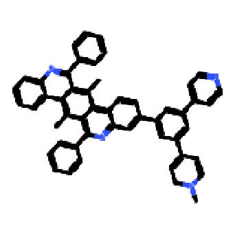 Cc1c2c(-c3ccccc3)nc3cc(-c4cc(C5=CCN(C)C=C5)cc(-c5ccncc5)c4)ccc3c2c(C)c2c(-c3ccccc3)nc3ccccc3c12